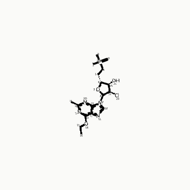 C=P(C)(C)CC[C@H]1OC(n2cnc3c(OCC)nc(C)nc32)[C@H](Cl)[C@@H]1O